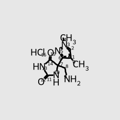 Cc1cn(C)nc1C1(CN)NC(=O)NC1=O.Cl